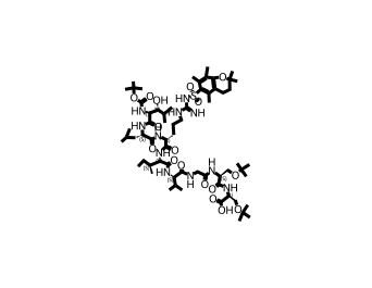 CC[C@H](C)[C@H](NC(=O)[C@@H](CCCNC(=N)NS(=O)(=O)c1c(C)c(C)c2c(c1C)CCC(C)(C)O2)NC(=O)[C@H](CC(C)C)NC(=O)[C@@H](NC(=O)OC(C)(C)C)[C@H](O)C(C)C)C(=O)N[C@H](C(=O)NCC(=O)N[C@@H](COC(C)(C)C)C(=O)N[C@@H](COC(C)(C)C)C(=O)O)C(C)C